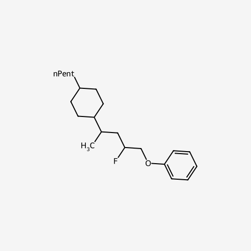 CCCCCC1CCC(C(C)CC(F)COc2ccccc2)CC1